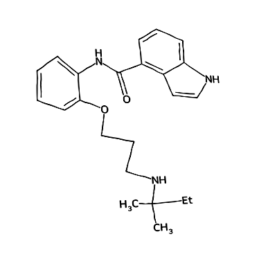 CCC(C)(C)NCCCOc1ccccc1NC(=O)c1cccc2[nH]ccc12